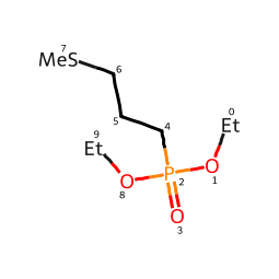 CCOP(=O)(CCCSC)OCC